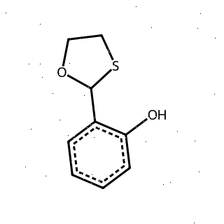 Oc1ccccc1C1OCCS1